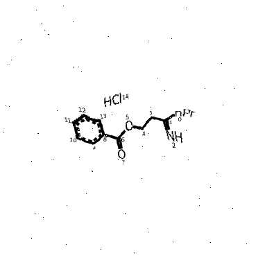 CCCC(=N)CCOC(=O)c1ccccc1.Cl